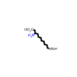 CCCCCCCCCCCCCCCCCC(N)CC(=O)O